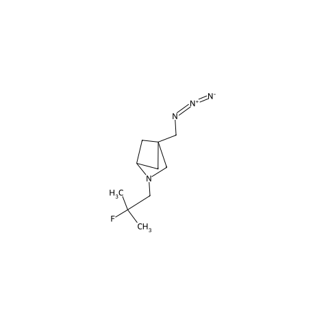 CC(C)(F)CN1CC2(CN=[N+]=[N-])CC1C2